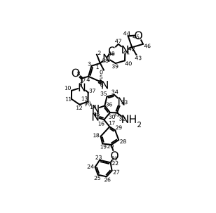 CC(C)(C=C(C#N)C(=O)N1CCC[C@@H](n2nc(-c3ccc(Oc4ccccc4)cc3)c3c(N)nccc32)C1)N1CCN(C2(C)COC2)CC1